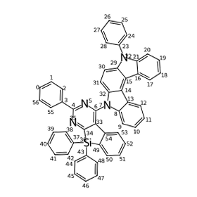 c1ccc(-c2nc(-n3c4ccccc4c4c5c6ccccc6n(-c6ccccc6)c5ccc43)c3c(n2)[Si](c2ccccc2)(c2ccccc2)c2ccccc2-3)cc1